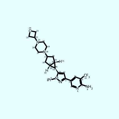 CC(C)n1nc(-c2cnc(N)c(C(F)(F)F)c2)cc1[C@H]1[C@@H]2CC(N3CCN(C4COC4)CC3)C[C@@H]21